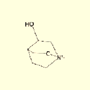 OC1C[N+]2CCC1CC2